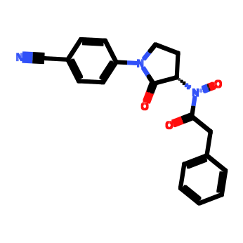 N#Cc1ccc(N2CC[C@H]([N+](=O)C(=O)Cc3ccccc3)C2=O)cc1